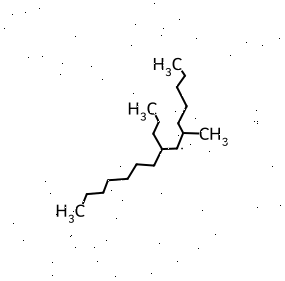 CCCCCCCC([CH]C(C)CCCCC)CCC